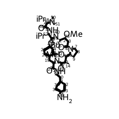 CC[C@H](C)[C@@H]([C@@H](CC(=O)N1CCC[C@H]1[C@H](OC)[C@@H](C)C(=O)NC(Cc1ccccc1)C(=O)NCCc1ccc(N)cc1)OC)N(C)C(=O)[C@@H](NC(=O)[C@H](C(C)C)N(C)C)C(C)C